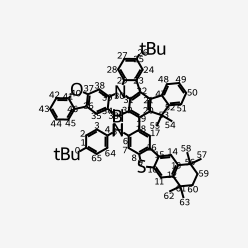 CC(C)(C)c1ccc(Nc2cc3sc4cc5c(cc4c3cc2-c2c3c(c4c6cc(C(C)(C)C)ccc6n6c4c2Bc2cc4c(cc2-6)oc2ccccc24)-c2ccccc2C3(C)C)C(C)(C)CCC5(C)C)cc1